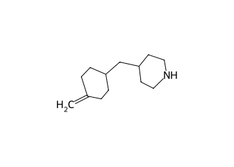 C=C1CCC(CC2CCNCC2)CC1